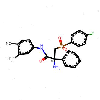 N#Cc1ccc(NC(=O)[C@](N)(CS(=O)(=O)c2ccc(F)cc2)c2ccccc2)cc1C(F)(F)F